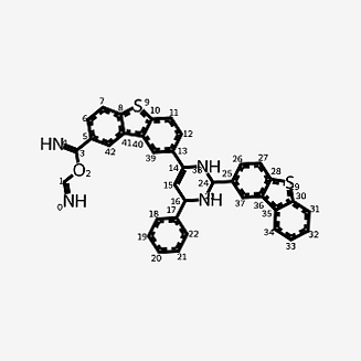 N=COC(=N)c1ccc2sc3ccc(C4=CC(c5ccccc5)NC(c5ccc6sc7ccccc7c6c5)N4)cc3c2c1